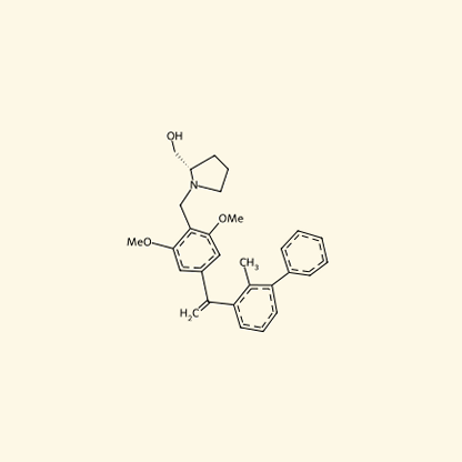 C=C(c1cc(OC)c(CN2CCC[C@H]2CO)c(OC)c1)c1cccc(-c2ccccc2)c1C